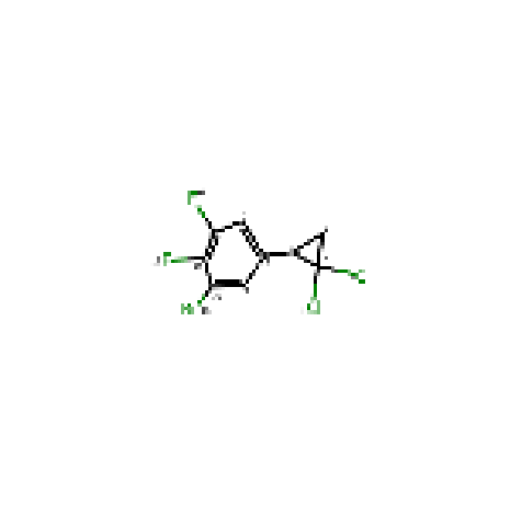 Fc1cc(C2CC2(Cl)Cl)cc(Br)c1F